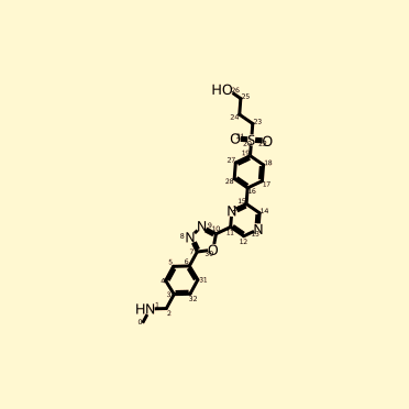 CNCc1ccc(-c2nnc(-c3cncc(-c4ccc(S(=O)(=O)CCCO)cc4)n3)o2)cc1